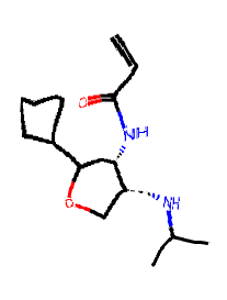 C=CC(=O)N[C@H]1C(C2CCC2)OC[C@H]1NC(C)C